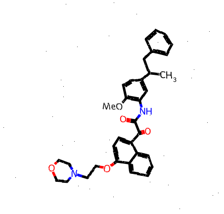 COc1ccc(C(C)Cc2ccccc2)cc1NC(=O)C(=O)c1ccc(OCCN2CCOCC2)c2ccccc12